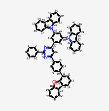 c1ccc(-c2nc(-c3ccc(-c4cccc5c4oc4ccccc45)cc3)cc(-c3cc(-n4c5ccccc5c5ccccc54)cc(-n4c5ccccc5c5ccccc54)c3)n2)cc1